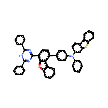 c1ccc(C2=NC(c3ccc(-c4ccc(N(c5ccccc5)c5ccc6c(c5)sc5ccccc56)cc4)c4c3oc3ccccc34)=NC(c3ccccc3)N2)cc1